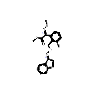 CO/N=C(/C(=O)OC)c1cccc(C)c1CO/N=C1\C=Cc2ccccc21